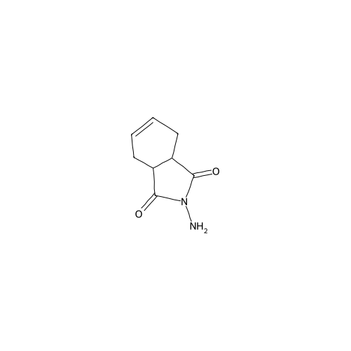 NN1C(=O)C2CC=CCC2C1=O